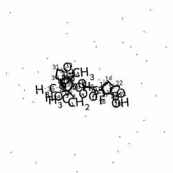 C=C[C@]1(C)C[C@@H](OC(=O)C[S+]([O-])c2ccc3c(c2F)B(O)OC3)[C@]2(C)[C@H](C)CC[C@]3(CCC(=O)[C@H]32)[C@@H](C)[C@@H]1O